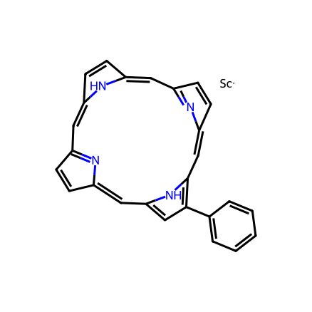 C1=Cc2cc3cc(-c4ccccc4)c(cc4nc(cc5ccc(cc1n2)[nH]5)C=C4)[nH]3.[Sc]